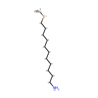 CCCCSCCCCCCCCCCCN